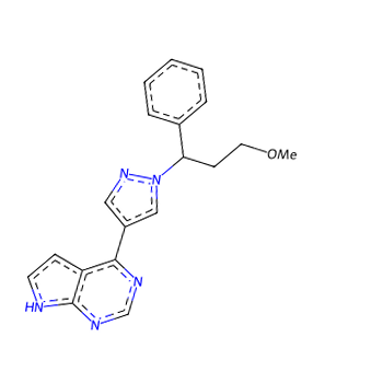 COCCC(c1ccccc1)n1cc(-c2ncnc3[nH]ccc23)cn1